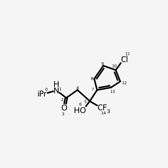 CC(C)NC(=O)CC(O)(c1ccc(Cl)cc1)C(F)(F)F